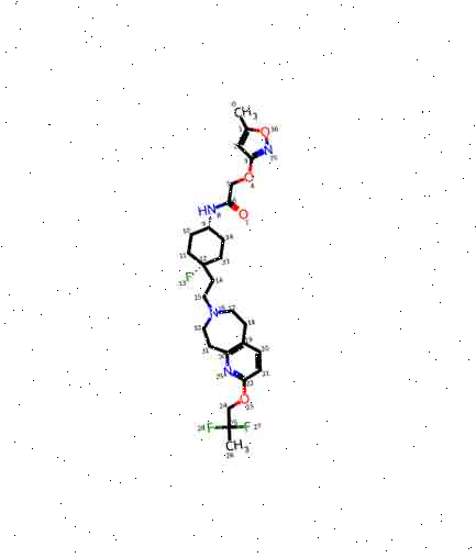 Cc1cc(OCC(=O)N[C@H]2CC[C@](F)(CCN3CCc4ccc(OCC(C)(F)F)nc4CC3)CC2)no1